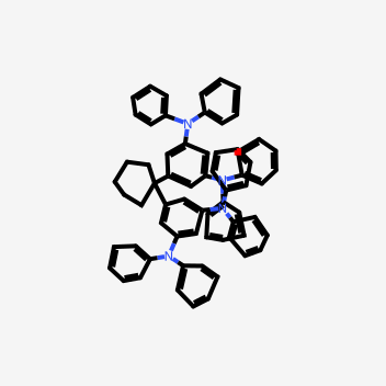 c1ccc(N(c2ccccc2)c2cc(N(c3ccccc3)c3ccccc3)cc(C3(c4cc(N(c5ccccc5)c5ccccc5)cc(N(c5ccccc5)c5ccccc5)c4)CCCCC3)c2)cc1